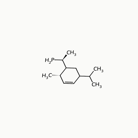 CC(C)C1C=C[C@H](C)C([C@H](C)P)C1